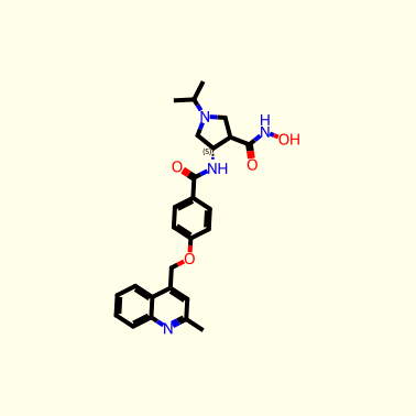 Cc1cc(COc2ccc(C(=O)N[C@@H]3CN(C(C)C)CC3C(=O)NO)cc2)c2ccccc2n1